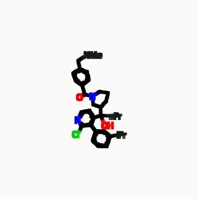 [CH2]CCC(O)(c1ccnc(Cl)c1-c1cccc(C(C)C)c1)C1CCCN(C(=O)c2ccc(CNC)cc2)C1